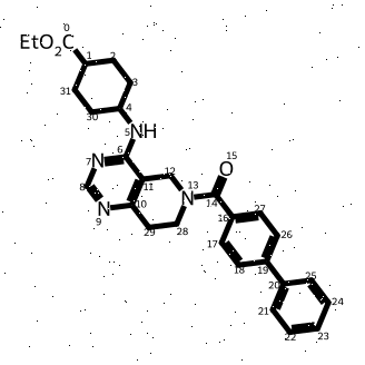 CCOC(=O)C1CCC(Nc2ncnc3c2CN(C(=O)c2ccc(-c4ccccc4)cc2)CC3)CC1